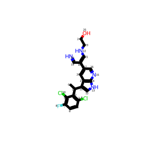 CC(c1c(Cl)ccc(F)c1Cl)c1c[nH]c2ncc(/C(C=N)=C/NCCO)cc12